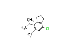 CC(C)c1c(C2CC2)cc(Cl)c2c1CCC2